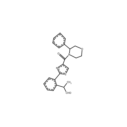 CC(C=O)c1ccccc1-c1nc(C(=O)N2CCOCC2c2ccccc2)cs1